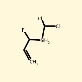 C=CC(F)[SiH2]C(Cl)Cl